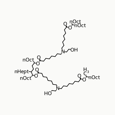 CCCCCCCCC(C)OC(=O)CCCCCCCN(CCO)CCCCCCCC(=O)OC(CCCCCCCC)C(CCCCCCC)CCC(CCCCCCCC)OC(=O)CCCCCCCN(CCO)CCCCCCCC(=O)OC(CCCCCCCC)CCCCCCCC